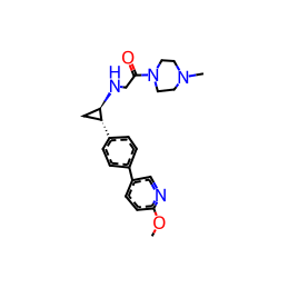 COc1ccc(-c2ccc([C@@H]3C[C@H]3NCC(=O)N3CCN(C)CC3)cc2)cn1